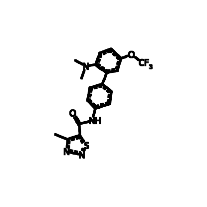 Cc1nnsc1C(=O)Nc1ccc(-c2cc(OC(F)(F)F)ccc2N(C)C)cc1